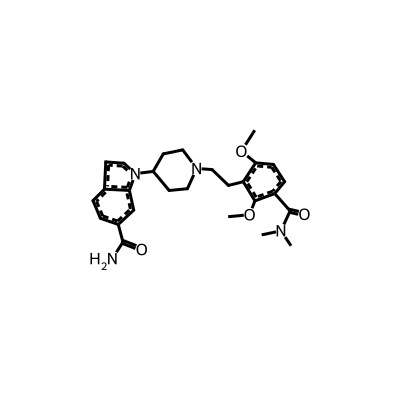 COc1ccc(C(=O)N(C)C)c(OC)c1CCN1CCC(n2ccc3ccc(C(N)=O)cc32)CC1